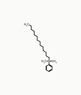 CCCCCCCCCCCCC[CH][Si](C)(C)c1ccccc1